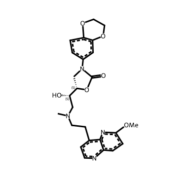 COc1ccc2nccc(CCN(C)C[C@H](O)[C@@H]3CN(c4ccc5c(c4)OCCO5)C(=O)O3)c2n1